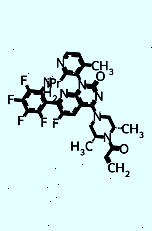 C=CC(=O)N1[C@H](C)CN(c2nc(=O)n(-c3c(C)ccnc3C(C)C)c3nc(-c4c(N)c(F)c(F)c(F)c4F)c(F)cc23)C[C@@H]1C